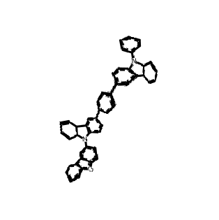 C1=CC2c3cc(-c4ccc(-c5ccc6c(c5)C5C=CC=CC5N6c5ccc6oc7ccccc7c6c5)cc4)ccc3N(c3ccccc3)C2C=C1